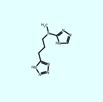 CN(CCCc1nnn[nH]1)c1nnc[nH]1